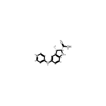 C[C@H]1c2cc(Oc3ccncc3)ccc2O[C@H]1C(=O)O